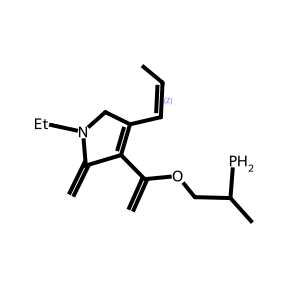 C=C(OCC(C)P)C1=C(/C=C\C)CN(CC)C1=C